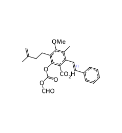 C=C(C)CCc1c(OC)c(C)c(/C=C/c2ccccc2)c(C(=O)O)c1OC(=O)OC=O